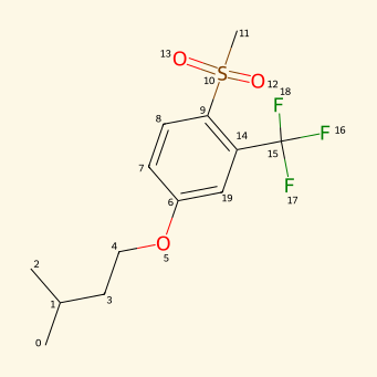 CC(C)CCOc1ccc(S(C)(=O)=O)c(C(F)(F)F)c1